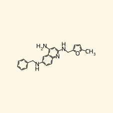 Cc1ccc(CNc2cc(N)c3cc(NCc4ccccc4)ccc3n2)o1